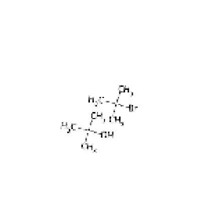 CC(C)(C)Br.CC(C)(C)O